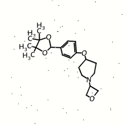 CC1(C)OC(c2ccc(OC3CCN(C4COC4)CC3)cc2)OC1(C)C